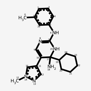 Cc1cccc(NC2=NC=C(c3cnn(C)c3)C(N)(C3CCCCC3)N2)c1